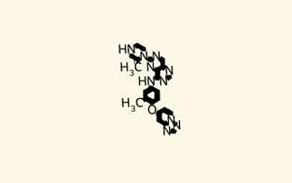 Cc1cc(Nc2ncnc3cnc(N4CCNC[C@@H]4C)nc23)ccc1Oc1ccn2ncnc2c1